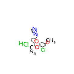 COc1ccc(OC(C)C2CCC(Cn3ccnc3)O2)c(Cl)c1.Cl